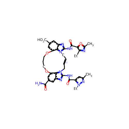 CCc1nc(C)oc1C(=O)Nc1nc2cc(C(=O)O)cc3c2n1C/C=C/Cn1c(NC(=O)c2cc(C)nn2CC)nc2cc(C(N)=O)cc(c21)OCCCO3